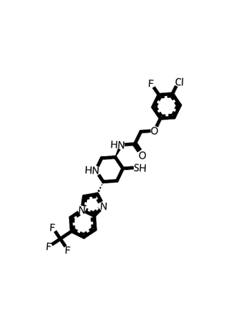 O=C(COc1ccc(Cl)c(F)c1)N[C@@H]1CN[C@@H](c2cn3cc(C(F)(F)F)ccc3n2)CC1S